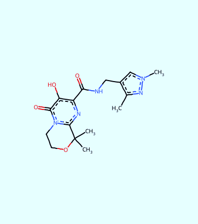 Cc1nn(C)cc1CNC(=O)c1nc2n(c(=O)c1O)CCOC2(C)C